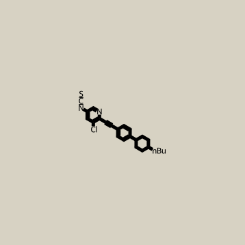 CCCCC1CCC(c2ccc(C#Cc3ncc(N=C=S)cc3Cl)cc2)CC1